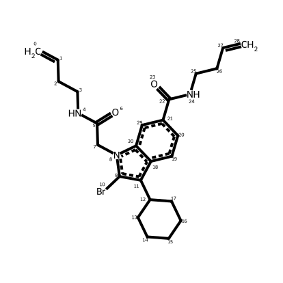 C=CCCNC(=O)Cn1c(Br)c(C2CCCCC2)c2ccc(C(=O)NCCC=C)cc21